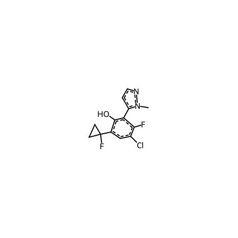 Cn1nccc1-c1c(O)c(C2(F)CC2)cc(Cl)c1F